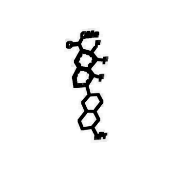 CCCC1CCC2CC(c3ccc4cc(C(=O)OC)c(F)c(F)c4c3F)CCC2C1